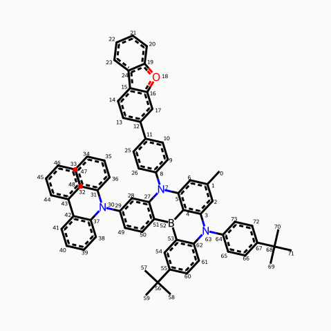 Cc1cc2c3c(c1)N(c1ccc(-c4ccc5c(c4)oc4ccccc45)cc1)c1cc(N(c4ccccc4)c4ccccc4-c4ccccc4)ccc1B3c1cc(C(C)(C)C)ccc1N2c1ccc(C(C)(C)C)cc1